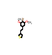 COc1cc(/C=C/c2ccsc2)cc(OC)c1Br